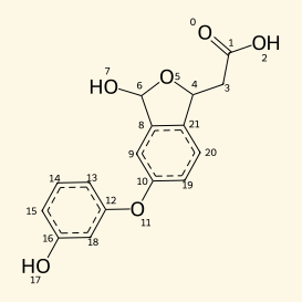 O=C(O)CC1OC(O)c2cc(Oc3cccc(O)c3)ccc21